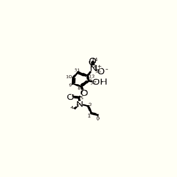 CCCN(C)C(=O)Oc1cccc([N+](=O)[O-])c1O